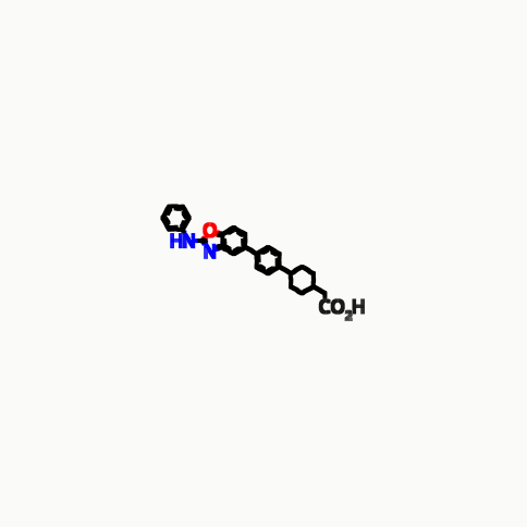 O=C(O)CC1CCC(c2ccc(-c3ccc4oc(Nc5ccccc5)nc4c3)cc2)CC1